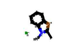 CCC[n+]1c(C)sc2ccccc21.[Br-]